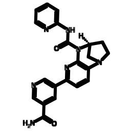 NC(=O)c1cncc(-c2ccc3c(n2)N(C(=O)Nc2ccccn2)[C@H]2CCN3C2)c1